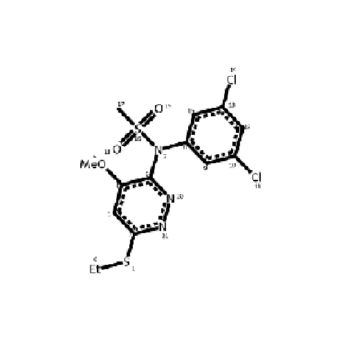 CCSc1cc(OC)c(N(c2cc(Cl)cc(Cl)c2)S(C)(=O)=O)nn1